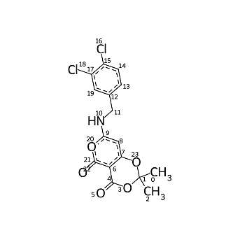 CC1(C)OC(=O)c2c(cc(NCc3ccc(Cl)c(Cl)c3)oc2=O)O1